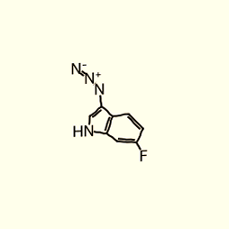 [N-]=[N+]=Nc1c[nH]c2cc(F)ccc12